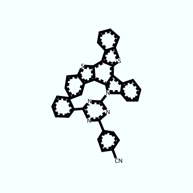 N#Cc1ccc(-c2nc(-c3ccccc3)nc(-n3c4ccccc4c4c5sc6ccccc6c5c5sc6ccccc6c5c43)n2)cc1